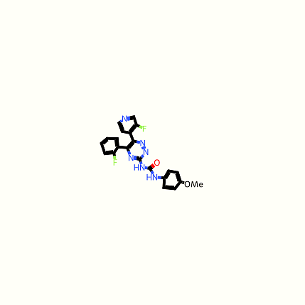 COc1ccc(NC(=O)Nc2nnc(-c3ccncc3F)c(-c3ccccc3F)n2)cc1